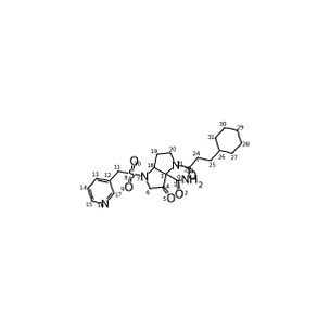 NC(=O)C12C(=O)CN(S(=O)(=O)Cc3cccnc3)C1CCN2C(=O)[CH]CC1CCCCC1